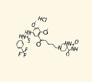 COc1cc(OC)c(C(=O)CCCCN2CCC3(CC2)NC(=O)NC3=O)cc1NC(=S)Nc1cccc(C(F)(F)F)c1.Cl